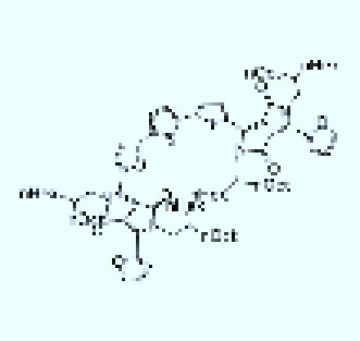 CCCCCCCCC(CCCCCC)CN1C(=O)C2=C(c3ccc(-c4ccc(-c5ccc(C6=C7C(=O)N(CC(CCCCCC)CCCCCCCC)C(c8ccco8)=C7C(=O)N6CC(CCCCCC)CCCCCCCC)o5)s4)o3)N(CC(CCCCCC)CCCCCCCC)C(=O)C2=C1c1ccco1